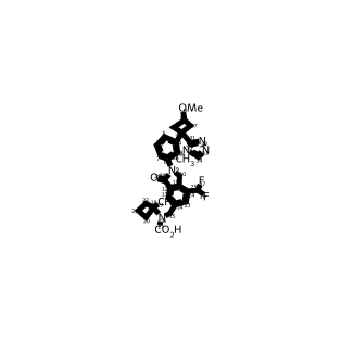 COC1CC(c2cccc(N3Cc4c(cc(CN(C(=O)O)C5(C)CCC5)cc4C(F)F)C3=O)c2)(c2nncn2C)C1